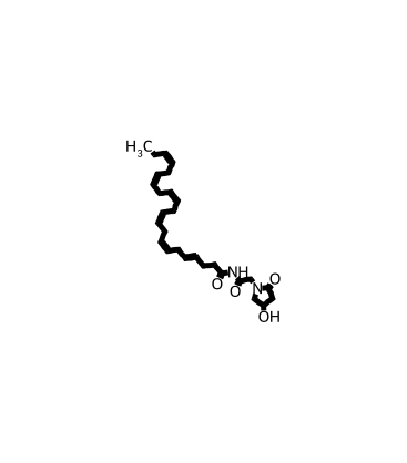 CC/C=C\C/C=C\C/C=C\C/C=C\C/C=C\C/C=C/CCC(=O)NC(=O)CN1CC(O)CC1=O